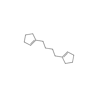 C1=C(CCCCC2=CCCC2)CCC1